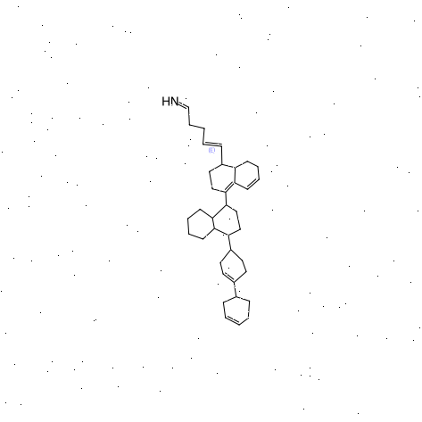 N=CCC/C=C/C1CCC(C2CCC(C3CC=C(C4CC=CCC4)CC3)C3CCCCC23)=C2C=CCCC21